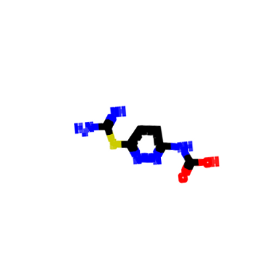 N=C(N)Sc1ccc(NC(=O)O)nn1